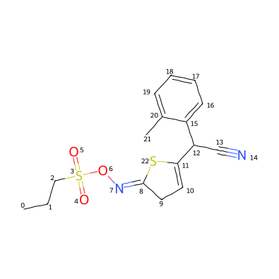 CCCS(=O)(=O)ON=C1CC=C(C(C#N)c2ccccc2C)S1